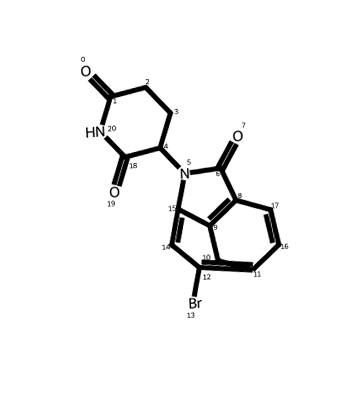 O=C1CCC(N2C(=O)C3=C4CC(=C(Br)C=C42)C=C3)C(=O)N1